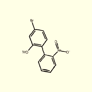 O=[N+]([O-])c1ccccc1-c1ccc(Br)cc1O